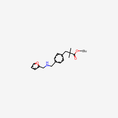 CC(C)(C)OC(=O)C(C)(C)Cc1ccc(CNCc2ccco2)cc1